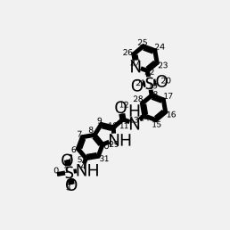 CS(=O)(=O)Nc1ccc2cc(C(=O)Nc3cccc(S(=O)(=O)c4ccccn4)c3)[nH]c2c1